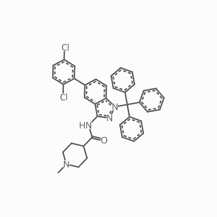 CN1CCC(C(=O)Nc2nn(C(c3ccccc3)(c3ccccc3)c3ccccc3)c3ccc(-c4cc(Cl)ccc4Cl)cc23)CC1